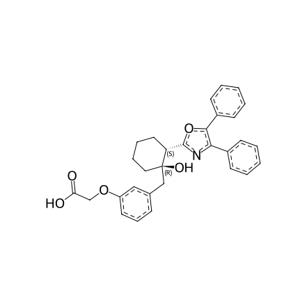 O=C(O)COc1cccc(C[C@]2(O)CCCC[C@@H]2c2nc(-c3ccccc3)c(-c3ccccc3)o2)c1